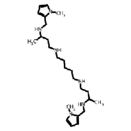 CC(CCNCCCCCNCCC(C)NCc1cccn1C)NCc1cccn1C